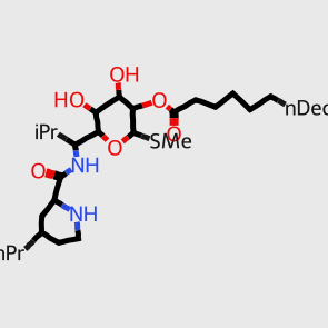 CCCCCCCCCCCCCCCC(=O)OC1C(SC)OC(C(NC(=O)C2CC(CCC)CCN2)C(C)C)C(O)C1O